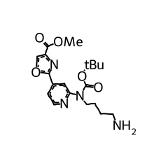 COC(=O)c1coc(-c2ccnc(N(CCCCN)C(=O)OC(C)(C)C)c2)n1